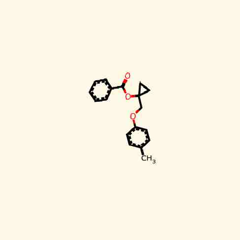 Cc1ccc(OCC2(OC(=O)c3ccccc3)CC2)cc1